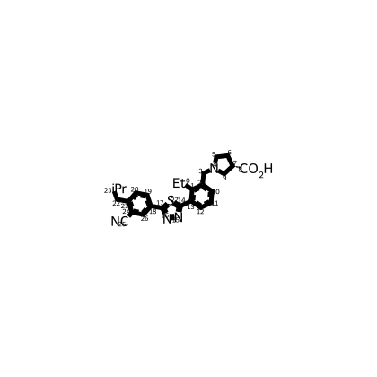 CCc1c(CN2CC[C@H](C(=O)O)C2)cccc1-c1nnc(-c2ccc(CC(C)C)c(C#N)c2)s1